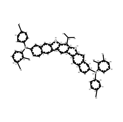 Cc1ccc(N(c2ccc3cc4c(cc3c2)oc2c(C(C)C)c3oc5cc6cc(N(c7ccc(C)cc7)c7cccc(C)c7C)ccc6cc5c3cc24)c2cccc(C)c2C)cc1